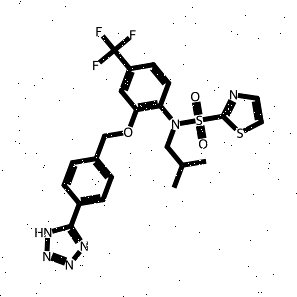 CC(C)CN(c1ccc(C(F)(F)F)cc1OCc1ccc(-c2nnn[nH]2)cc1)S(=O)(=O)c1nccs1